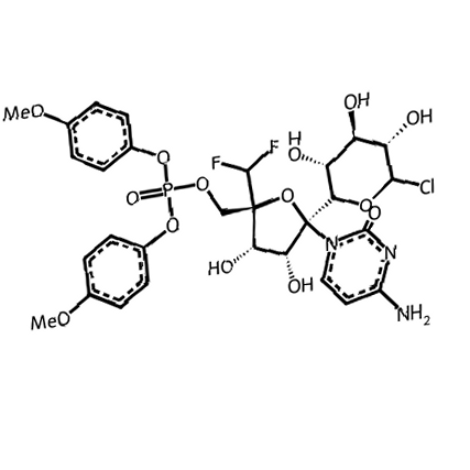 COc1ccc(OP(=O)(OC[C@@]2(C(F)F)O[C@@](C3OC(Cl)[C@@H](O)[C@H](O)[C@H]3O)(n3ccc(N)nc3=O)[C@H](O)[C@@H]2O)Oc2ccc(OC)cc2)cc1